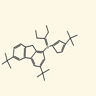 CC[C](CC)=[Zr]([C]1=CC(C(C)(C)C)=CC1)[c]1cc(C(C)(C)C)cc2c1Cc1ccc(C(C)(C)C)cc1-2